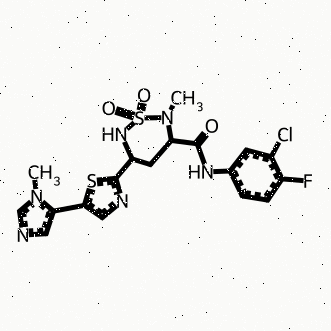 CN1C(C(=O)Nc2ccc(F)c(Cl)c2)CC(c2ncc(-c3cncn3C)s2)NS1(=O)=O